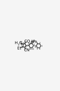 CCCc1ccccc1-c1ccc(-c2c(C#N)c(CC)n(C)c2C(=O)O)cc1